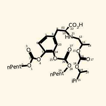 CCCCCOC(=O)Oc1ccc(C[C@H](NCC(C)OC(=O)OC(C)C(C)C)C(=O)O)cc1OC(=O)OCCCCC